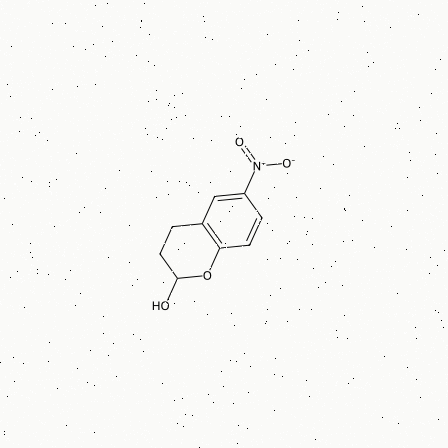 O=[N+]([O-])c1ccc2c(c1)CCC(O)O2